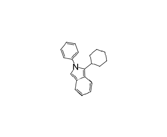 c1ccc(-n2cc3ccccc3c2C2CCCCC2)cc1